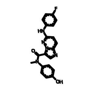 CN(C(=O)c1cnc2ccc(Nc3ccc(F)cc3)nn12)c1ccc(O)cc1